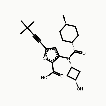 CC(C)(C)C#Cc1cc(N(C(=O)[C@H]2CC[C@H](C)CC2)[C@H]2C[C@@H](O)C2)c(C(=O)O)s1